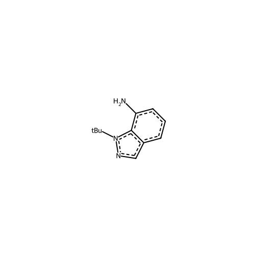 CC(C)(C)n1ncc2cccc(N)c21